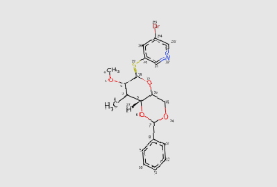 COC1C(C)[C@H]2OC(c3ccccc3)OCC2O[C@@H]1Sc1cncc(Br)c1